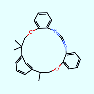 CC1COc2ccccc2N=C=Nc2ccccc2OCC(C)(C)c2cccc1c2